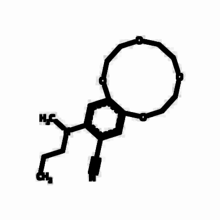 CCCN(C)c1cc2c(cc1C#N)OCCOCCOCCO2